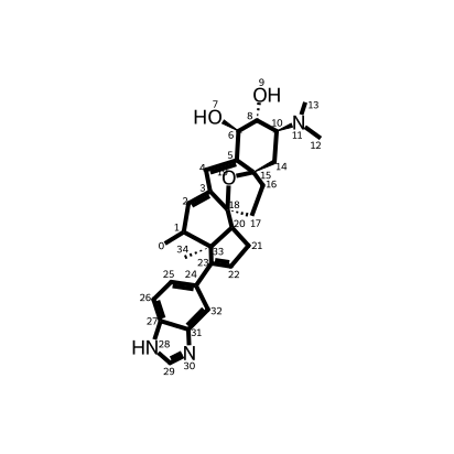 CC1C=C2C=C3[C@@H](O)[C@H](O)[C@@H](N(C)C)C[C@]34CC[C@]2(O4)C2CC=C(c3ccc4[nH]cnc4c3)[C@@]12C